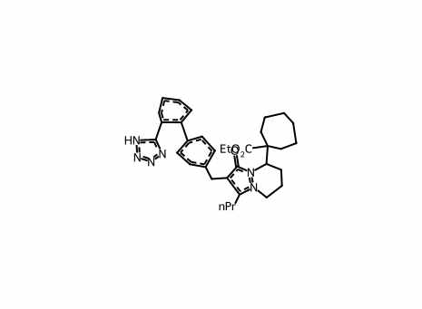 CCCc1c(Cc2ccc(-c3ccccc3-c3nnn[nH]3)cc2)c(=O)n2n1CCCC2C1(C(=O)OCC)CCCCCC1